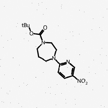 CC(C)(C)OC(=O)N1CCCN(c2ccc([N+](=O)[O-])cn2)CC1